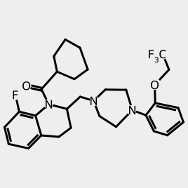 O=C(C1CCCCC1)N1c2c(F)cccc2CCC1CN1CCN(c2ccccc2OCC(F)(F)F)CC1